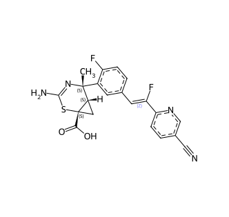 C[C@]1(c2cc(/C=C(\F)c3ccc(C#N)cn3)ccc2F)N=C(N)S[C@@]2(C(=O)O)C[C@H]21